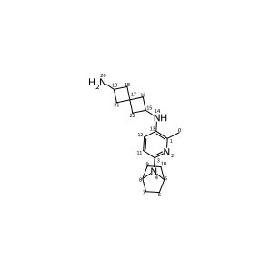 Cc1nc(N2C3CCC2CC3)ccc1NC1CC2(CC(N)C2)C1